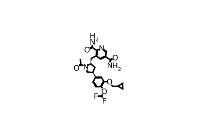 CC(=O)N1C[C@H](c2ccc(OC(F)F)c(OCC3CC3)c2)C[C@@H]1Cc1cc(C(N)=O)cnc1C(N)=O